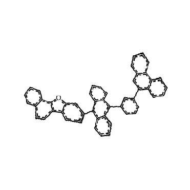 c1cc(-c2c3ccccc3c(-c3ccc4c(c3)oc3c5ccccc5ccc43)c3ccccc23)cc(-c2cc3ccccc3c3ccccc23)c1